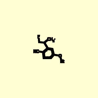 [CH2]C(CF)c1cc(OCC)ccc1C#N